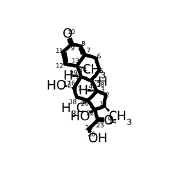 C[C@@H]1C[C@H]2[C@@H]3CCC4=CC(=O)C=C[C@]4(C)[C@H]3[C@@H](O)C[C@]2(C)[C@@]1(O)C(=O)CO